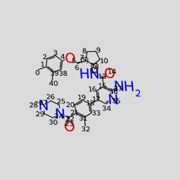 Cc1ccc(OC[C@H]2CCC[C@@H]2NC(=O)c2cc(-c3ccc(C(=O)N4CCN(C)CC4)c(C)c3)cnc2N)cc1C